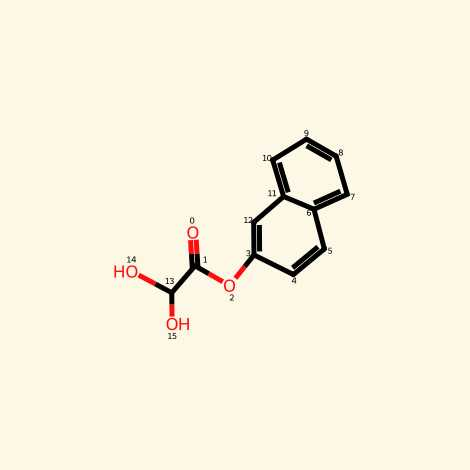 O=C(Oc1ccc2ccccc2c1)C(O)O